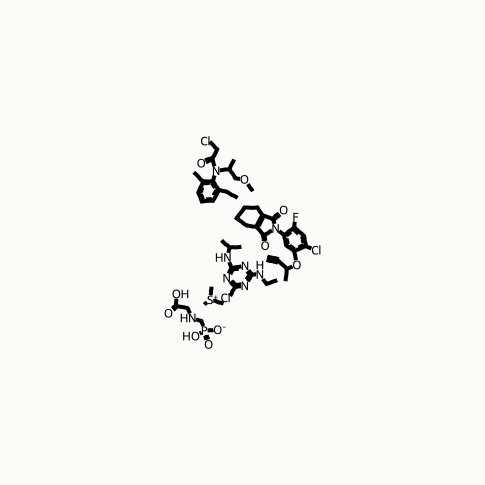 C#CC(C)Oc1cc(N2C(=O)C3=C(CCCC3)C2=O)c(F)cc1Cl.CCNc1nc(Cl)nc(NC(C)C)n1.CCc1cccc(C)c1N(C(=O)CCl)C(C)COC.C[S+](C)C.O=C(O)CNCP(=O)([O-])O